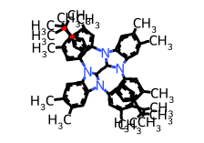 Cc1cc2c(cc1C)N(c1ccc(C(C)C)c(C)c1)C(C1N(c3ccc(C(C)C)c(C)c3)c3cc(C)c(C)cc3N1c1ccc(C(C)C)c(C)c1)N2c1ccc(C(C)C)c(C)c1